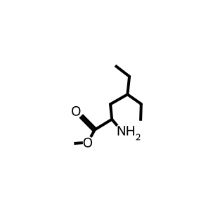 CCC(CC)CC(N)C(=O)OC